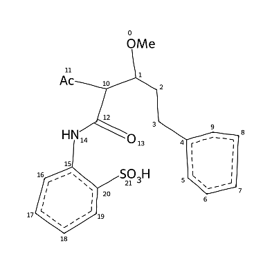 COC(CCc1ccccc1)C(C(C)=O)C(=O)Nc1ccccc1S(=O)(=O)O